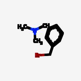 BrCc1ccccc1.CN(C)C